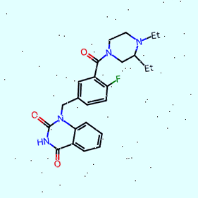 CCC1CN(C(=O)c2cc(Cn3c(=O)[nH]c(=O)c4ccccc43)ccc2F)CCN1CC